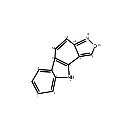 c1ccc2c(c1)[nH]c1c3conc3ccc21